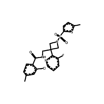 Cc1ccc(C(=O)NCC2(c3ncccc3F)CN(S(=O)(=O)c3ccc(C)s3)C2)c(Cl)c1